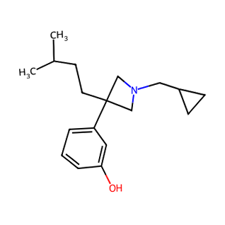 CC(C)CCC1(c2cccc(O)c2)CN(CC2CC2)C1